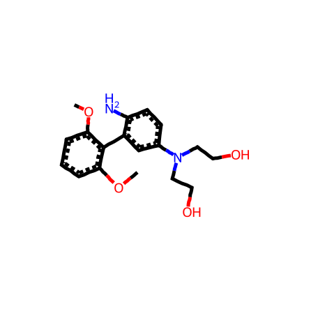 COc1cccc(OC)c1-c1cc(N(CCO)CCO)ccc1N